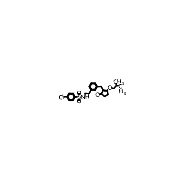 CC(C)COC1=C(Cc2cccc(CCNS(=O)(=O)c3ccc(Cl)cc3)c2)C(=O)CC1